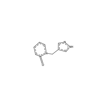 O=c1ccccn1Cc1cn[nH]c1